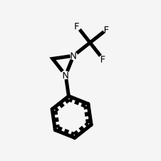 FC(F)(F)N1CN1c1ccccc1